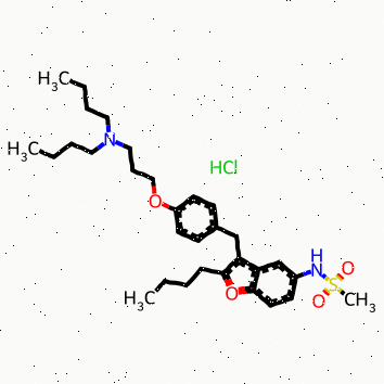 CCCCc1oc2ccc(NS(C)(=O)=O)cc2c1Cc1ccc(OCCCN(CCCC)CCCC)cc1.Cl